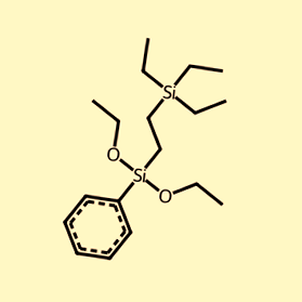 CCO[Si](CC[Si](CC)(CC)CC)(OCC)c1ccccc1